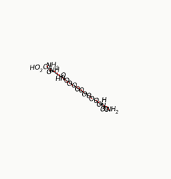 NOCC(=O)NCCOCCOCCOCCOCCOCCOCCOCCOCCOCCOCCNC(=O)CCCCCCCNC(=O)CC[C@H](N)C(=O)O